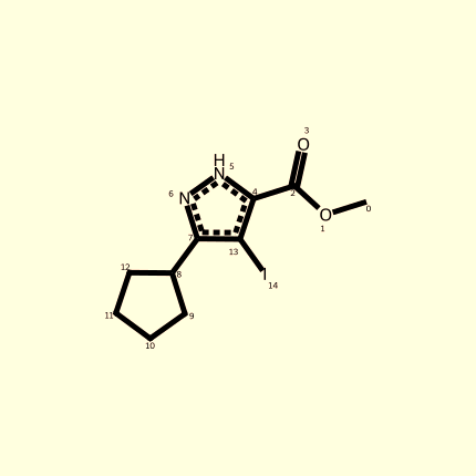 COC(=O)c1[nH]nc(C2CCCC2)c1I